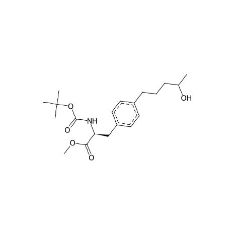 COC(=O)[C@H](Cc1ccc(CCCC(C)O)cc1)NC(=O)OC(C)(C)C